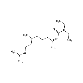 CCN(CC)C(=O)C=C(C)CCCC(C)CCOC(C)C